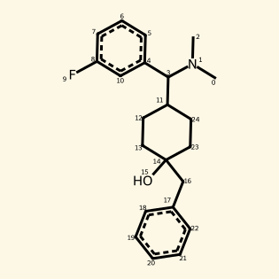 CN(C)C(c1cccc(F)c1)C1CCC(O)(Cc2ccccc2)CC1